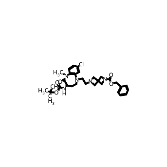 CN1C(=O)[C@@H](NC(=O)OC(C)(C)C)CCN(CCN2CC3(C2)CN(C(=O)OCc2ccccc2)C3)c2cc(Cl)ccc21